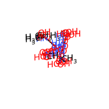 CC(=O)NC1C(OCCOCCNC(=O)C(CCC(=O)NCCOCCOC2OC(CO)C(O)C(O)C2NC(C)=O)NC(=O)CCC(NC(=O)CCCCCCCCCCC(=O)NC[C@@H]2C[C@H](OC(C)(C)C)[C@@H](CO)O2)C(=O)NCCOCCOC2OC(CO)C(O)C(O)C2NC(C)=O)OCC(CO)C(O)C1O